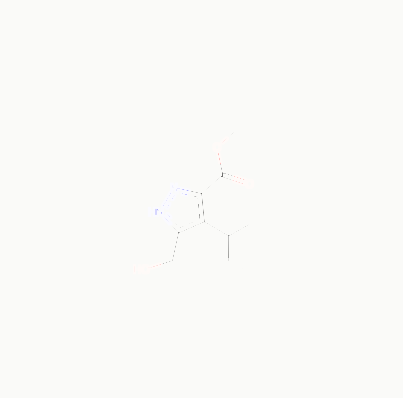 COC(=O)c1n[nH]c(CO)c1C(C)C